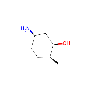 C[C@H]1CC[C@@H](N)C[C@H]1O